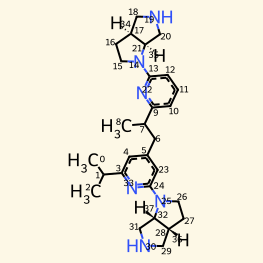 CC(C)c1cc(CC(C)c2cccc(N3CC[C@H]4CNC[C@H]43)n2)cc(N2CC[C@@H]3CNC[C@@H]32)n1